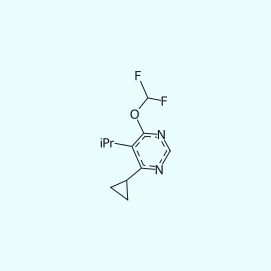 CC(C)c1c(OC(F)F)ncnc1C1CC1